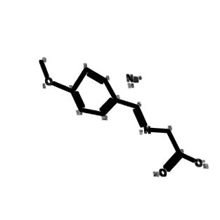 COc1ccc(C=NCC(=O)[O-])cc1.[Na+]